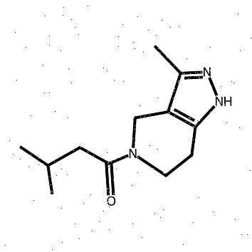 Cc1n[nH]c2c1CN(C(=O)CC(C)C)CC2